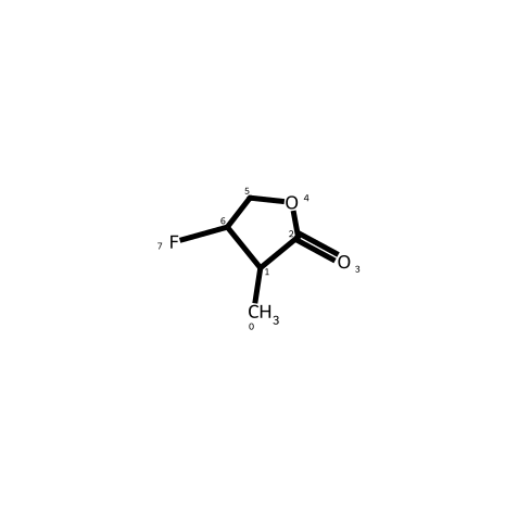 CC1C(=O)OCC1F